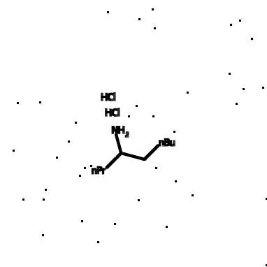 CCCCCC(N)CCC.Cl.Cl